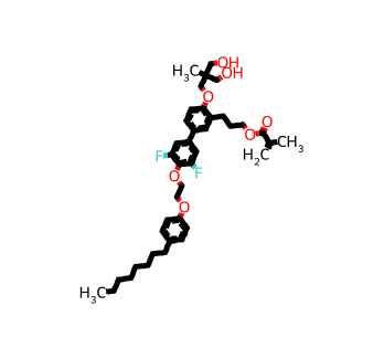 C=C(C)C(=O)OCCCc1cc(-c2cc(F)c(OCCOc3ccc(CCCCCCCC)cc3)c(F)c2)ccc1OCC(C)(CO)CO